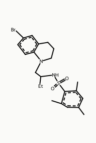 CCC(CN1CCCc2cc(Br)ccc21)NS(=O)(=O)c1c(C)cc(C)cc1C